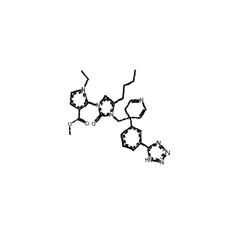 CCCCc1cn(-c2c(C(=O)OC)ccn2CC)c(=O)n1CC1(c2cccc(-c3nnn[nH]3)c2)C=CN=CC1